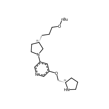 CCCCOCCC[C@H]1CCN(c2cncc(OC[C@@H]3CCCN3)c2)C1